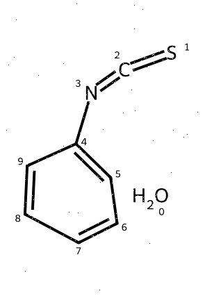 O.S=C=Nc1ccccc1